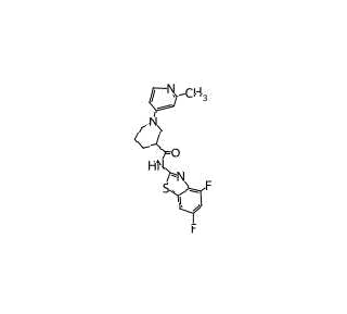 Cc1cc(N2CCCC(C(=O)Nc3nc4c(F)cc(F)cc4s3)C2)ccn1